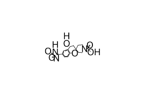 O=C(O)N1CCC2(CC1)CC(O)c1cc(-c3noc(=O)[nH]3)ccc1O2